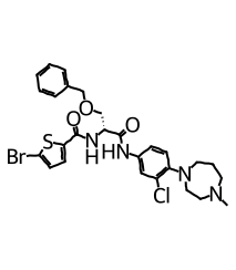 CN1CCCN(c2ccc(NC(=O)[C@@H](COCc3ccccc3)NC(=O)c3ccc(Br)s3)cc2Cl)CC1